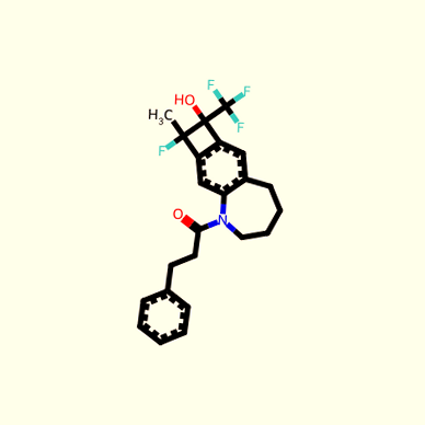 CC1(F)c2cc3c(cc2C1(O)C(F)(F)F)CCCCN3C(=O)CCc1ccccc1